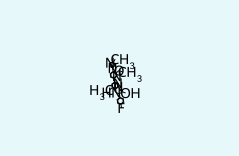 COc1nc(-c2cc(C)c(NC(CO)c3ccc(F)cc3)nn2)ccc1-n1cnc(C)c1